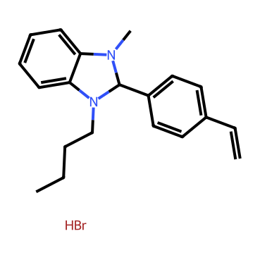 Br.C=Cc1ccc(C2N(C)c3ccccc3N2CCCC)cc1